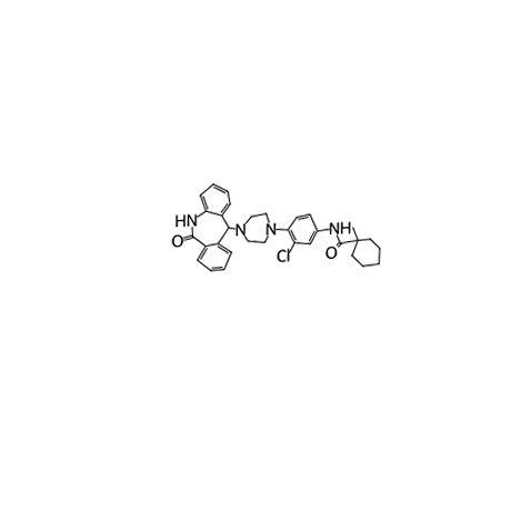 CC1(C(=O)Nc2ccc(N3CCN(C4c5ccccc5NC(=O)c5ccccc54)CC3)c(Cl)c2)CCCCC1